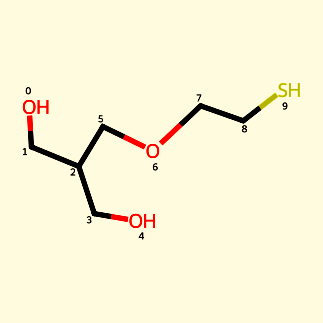 OCC(CO)COCCS